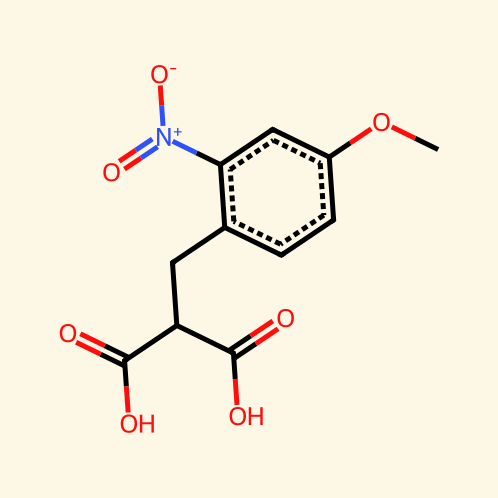 COc1ccc(CC(C(=O)O)C(=O)O)c([N+](=O)[O-])c1